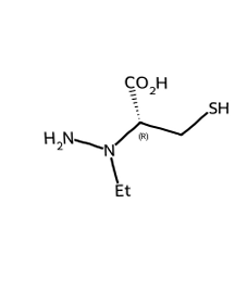 CCN(N)[C@@H](CS)C(=O)O